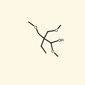 CCC(COC)(COC)C(O)OC